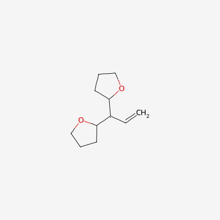 C=C[C](C1CCCO1)C1CCCO1